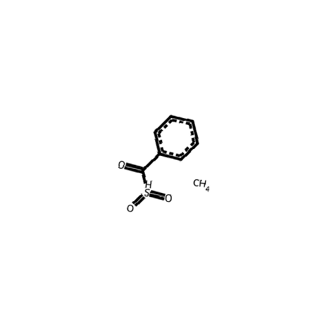 C.O=C(c1ccccc1)[SH](=O)=O